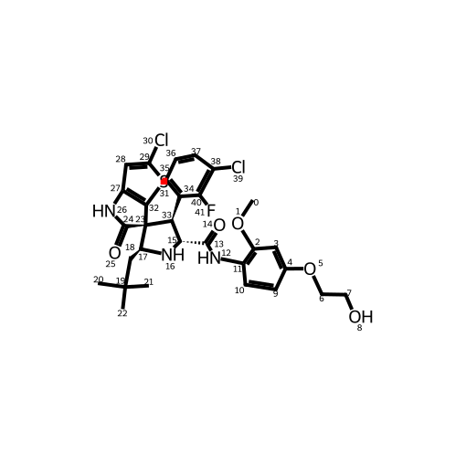 COc1cc(OCCO)ccc1NC(=O)[C@@H]1N[C@@H](CC(C)(C)C)[C@@]2(C(=O)Nc3cc(Cl)sc32)[C@H]1c1cccc(Cl)c1F